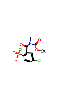 CN(C(=O)OC(C)(C)C)C(=O)c1cc(Cl)ccc1S(=O)(=O)Cl